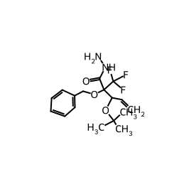 C=CC(OC(C)(C)C)C(OCc1ccccc1)(C(=O)NN)C(F)(F)F